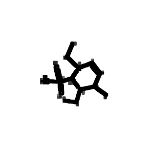 CCN1C=CC(C)N(CC)C1S(=O)(=O)O